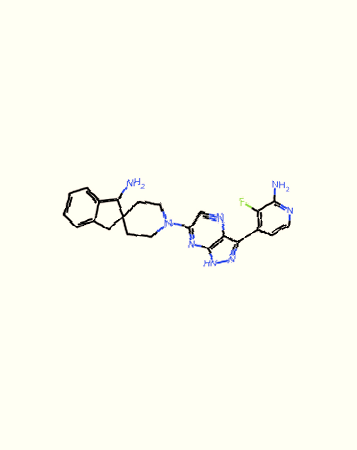 Nc1nccc(-c2n[nH]c3nc(N4CCC5(CC4)Cc4ccccc4C5N)cnc23)c1F